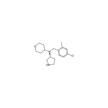 Cc1cc(Cl)ccc1CN(C1CCOCC1)[C@H]1CCNC1